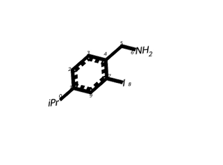 CC(C)c1ccc(CN)c(I)c1